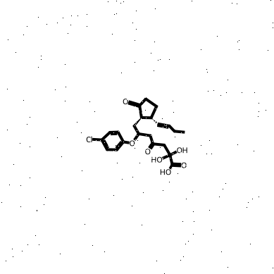 CC/C=C/[C@H]1CCC(=O)[C@@H]1CC(CC(=O)CC(O)(O)C(=O)O)Oc1ccc(Cl)cc1